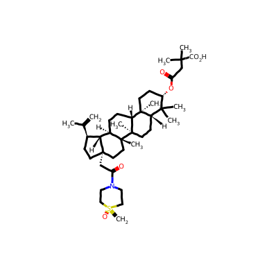 C=C(C)[C@@H]1CC[C@]2(CC(=O)N3CCS(=C)(=O)CC3)CC[C@]3(C)[C@H](CC[C@@H]4[C@@]5(C)CC[C@H](OC(=O)CC(C)(C)C(=O)O)C(C)(C)[C@@H]5CC[C@]43C)[C@@H]12